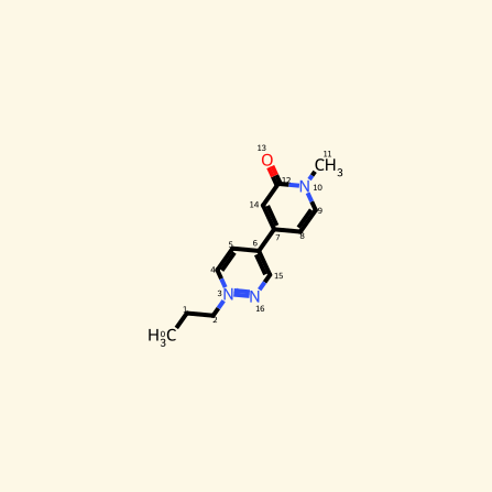 CCC[n+]1ccc(-c2ccn(C)c(=O)c2)cn1